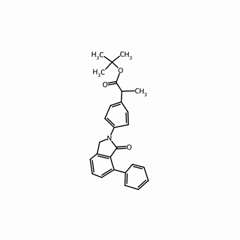 CC(C(=O)OC(C)(C)C)c1ccc(N2Cc3cccc(-c4ccccc4)c3C2=O)cc1